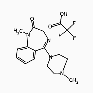 CN1CCN(C2=NCC(=O)N(C)c3ccccc32)CC1.O=C(O)C(F)(F)F